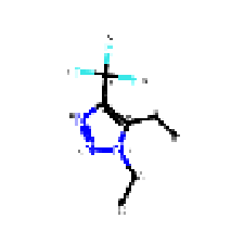 CCc1c(C(F)(F)F)nnn1CC